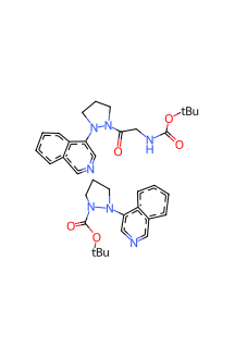 CC(C)(C)OC(=O)N1CCCN1c1cncc2ccccc12.CC(C)(C)OC(=O)NCC(=O)N1CCCN1c1cncc2ccccc12